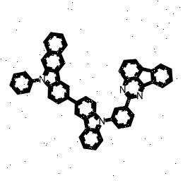 c1ccc(-n2c3ccc(-c4ccc5c(c4)c4ccccc4n5-c4cccc(-c5nc6c7c(cccc7n5)-c5ccccc5-6)c4)cc3c3cc4ccccc4cc32)cc1